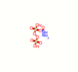 N.N=O.O=S(=O)(O)OOS(=O)(=O)O